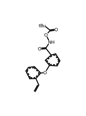 C=Cc1ccccc1Oc1cccc(C(=O)NOC(=O)C(C)(C)C)c1